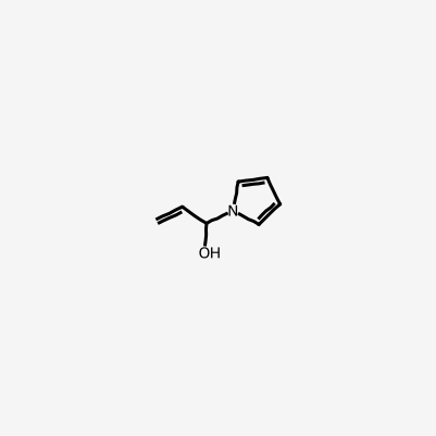 C=CC(O)n1cccc1